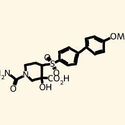 COc1ccc(-c2ccc(S(=O)(=O)C3CCN(C(N)=O)CC3(O)C(=O)O)cc2)cc1